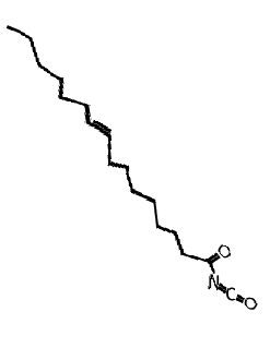 CCCCCCC=CCCCCCCCC(=O)N=C=O